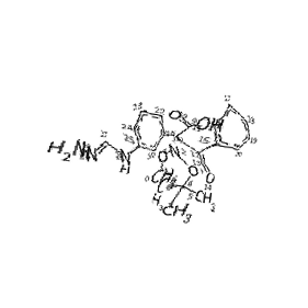 CON(OC(C)(C)C)[C@](C(=O)O)(C(=C=O)c1ccccc1)c1cccc(NC=NN)c1